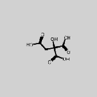 O=C(O)CC(O)(C(=O)O)C(=O)O